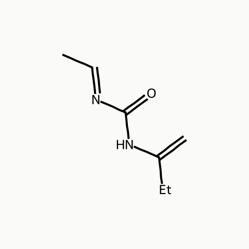 C=C(CC)NC(=O)N=CC